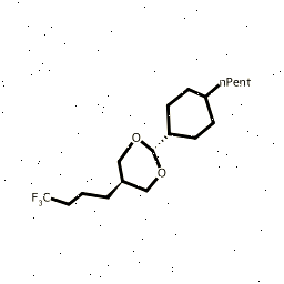 CCCCCC1CCC([C@H]2OC[C@H](CCCC(F)(F)F)CO2)CC1